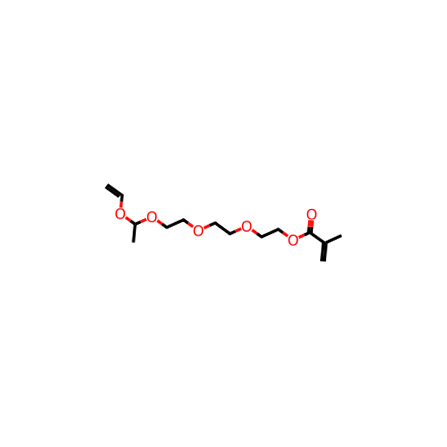 C=COC(C)OCCOCCOCCOC(=O)C(=C)C